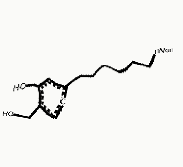 CCCCCCCCCCCCCCCc1ccc(CO)c(O)c1